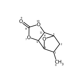 CC1CC2OC1C1OC(=O)OC21